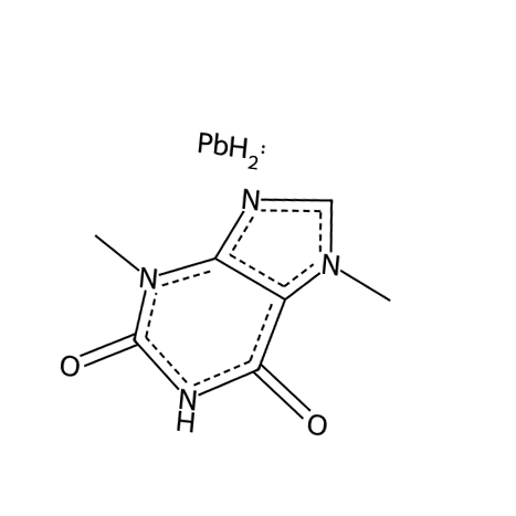 Cn1cnc2c1c(=O)[nH]c(=O)n2C.[PbH2]